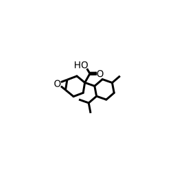 CC1CCC(C(C)C)C(C2(C(=O)O)CCC3OC3C2)C1